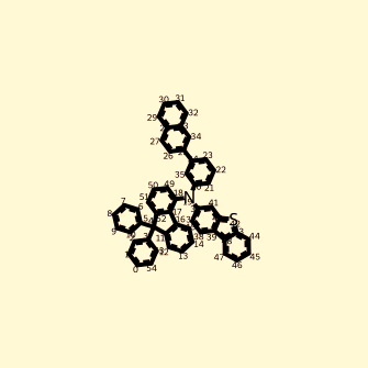 c1ccc(C2(c3ccccc3)c3ccccc3-c3c(N(c4cccc(-c5ccc6ccccc6c5)c4)c4ccc5c(c4)sc4ccccc45)cccc32)cc1